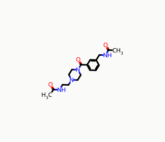 CC(=O)NCCN1CCN(C(=O)c2cccc(CNC(C)=O)c2)CC1